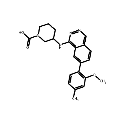 COc1cc(C)ccc1-c1ccc2cnnc(NC3CCCN(C(=O)O)C3)c2c1